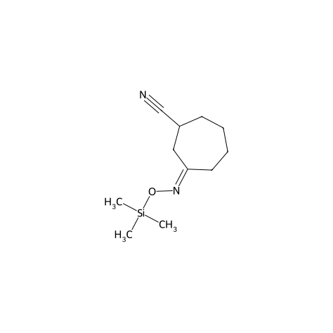 C[Si](C)(C)ON=C1CCCCC(C#N)C1